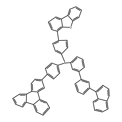 c1cc(-c2cccc(N(c3ccc(-c4ccc5c6ccccc6c6ccccc6c5c4)cc3)c3ccc(-c4cccc5c4oc4ccccc45)cc3)c2)cc(-c2cccc3ccccc23)c1